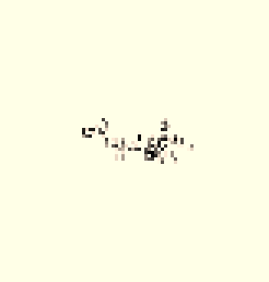 COc1cc(C)c(S(=O)(=O)N(C)CCOCC(=O)NC2CCC(CN3CCCCC3c3ccccc3)CC2)c(C)c1C